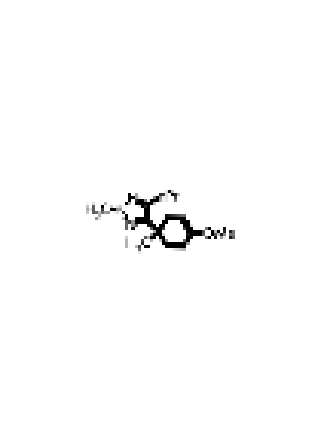 CCCc1nn(C)nc1C1(C)C=CC(OC)=CC1